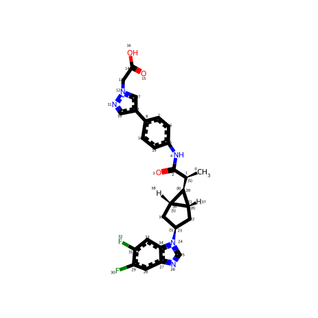 C[C@H](C(=O)Nc1ccc(-c2cnn(CC(=O)O)c2)cc1)[C@H]1[C@@H]2C[C@@H](n3cnc4cc(F)c(F)cc43)C[C@@H]21